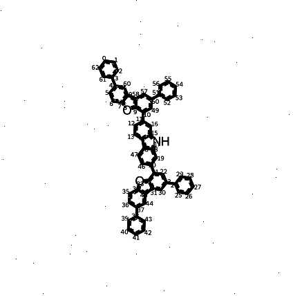 c1ccc(-c2ccc3oc4c(-c5ccc6c(c5)[nH]c5cc(-c7cc(-c8ccccc8)cc8c7oc7ccc(-c9ccccc9)cc78)ccc56)cc(-c5ccccc5)cc4c3c2)cc1